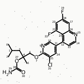 CC(C)CC(C)(COc1ncc(-c2ccnc3cc(F)cc(F)c23)cc1Cl)OC(N)=O